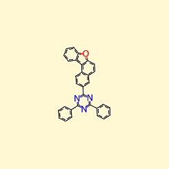 c1ccc(-c2nc(-c3ccccc3)nc(-c3ccc4c(ccc5oc6ccccc6c54)c3)n2)cc1